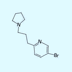 Brc1ccc(CCCN2CCCC2)nc1